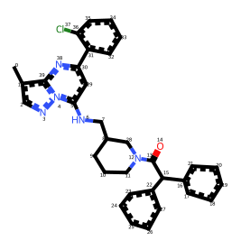 Cc1cnn2c(NCC3CCCN(C(=O)C(c4ccccc4)c4ccccc4)C3)cc(-c3ccccc3Cl)nc12